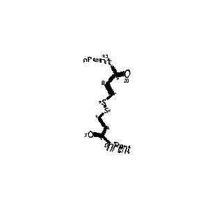 CCCCCC(=O)C=CSSC=CC(=O)CCCCC